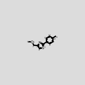 [CH2]OCc1csc(-c2ccc(C)cc2)n1